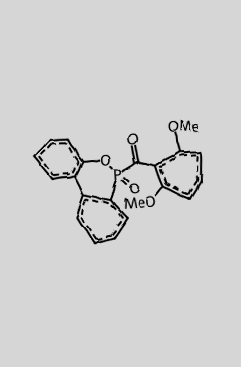 COc1cccc(OC)c1C(=O)P1(=O)Oc2ccccc2-c2ccccc21